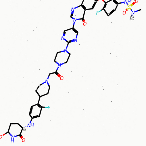 CCN(C)S(=O)(=O)Nc1ccc(F)c(Oc2ccc3ncn(-c4cnc(N5CCN(C(=O)CN6CCC(c7ccc(N[C@H]8CCC(O)NC8=O)cc7F)CC6)CC5)nc4)c(=O)c3c2)c1C#N